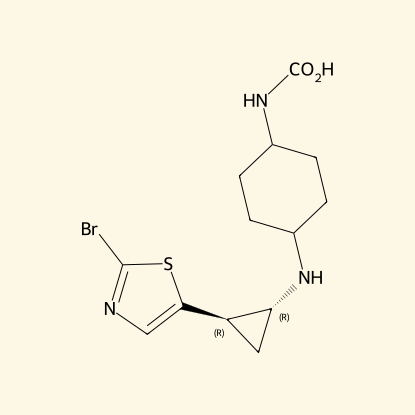 O=C(O)NC1CCC(N[C@@H]2C[C@H]2c2cnc(Br)s2)CC1